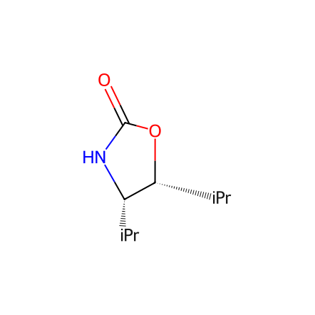 CC(C)[C@H]1OC(=O)N[C@H]1C(C)C